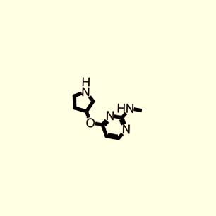 CNc1nccc(OC2CCNC2)n1